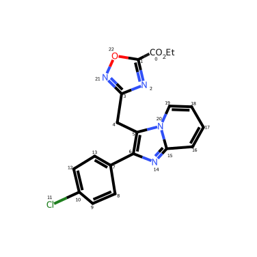 CCOC(=O)c1nc(Cc2c(-c3ccc(Cl)cc3)nc3ccccn23)no1